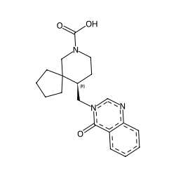 O=C(O)N1CC[C@@H](Cn2cnc3ccccc3c2=O)C2(CCCC2)C1